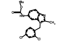 Cc1nc2ccc(NC(=O)OC(C)(C)C)cc2n1Cc1ccc(Cl)cc1Cl